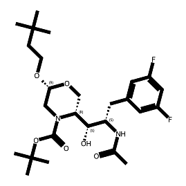 CC(=O)N[C@@H](Cc1cc(F)cc(F)c1)[C@H](O)[C@H]1CO[C@@H](OCCC(C)(C)C)CN1C(=O)OC(C)(C)C